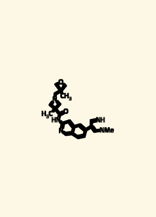 CN/C=C(\C=N)c1ccc2cnc(NC(=O)C3(C)CN(CC4(C)COC4)C3)cc2c1